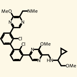 CNCc1ncc(-c2cccc(-c3cccc(-c4cnc(CNC(COC)C5CC5)c(OC)n4)c3Cl)c2Cl)nc1OC